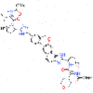 COC(=O)N[C@@H]1C(=O)N2C(c3ncc(-c4ccc5c(c4)COc4cc6c(ccc7nc([C@@H]8CC[C@H](I)N8C(=O)[C@@H](NC(=O)OC)C8CCOCC8)[nH]c76)cc4-5)[nH]3)CC[C@@H]2CC1C